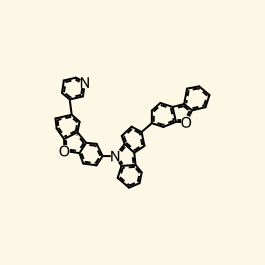 c1cncc(-c2ccc3oc4ccc(-n5c6ccccc6c6cc(-c7ccc8c(c7)oc7ccccc78)ccc65)cc4c3c2)c1